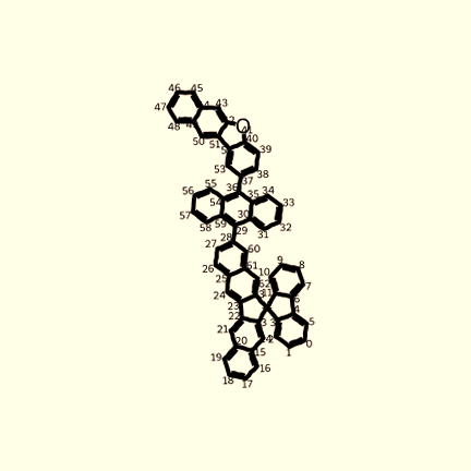 c1ccc2c(c1)-c1ccccc1C21c2cc3ccccc3cc2-c2cc3ccc(-c4c5ccccc5c(-c5ccc6oc7cc8ccccc8cc7c6c5)c5ccccc45)cc3cc21